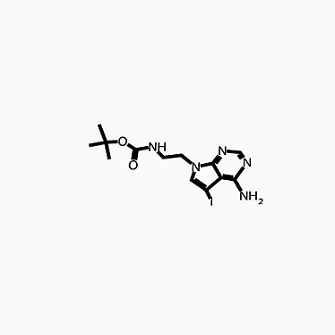 CC(C)(C)OC(=O)NCCn1cc(I)c2c(N)ncnc21